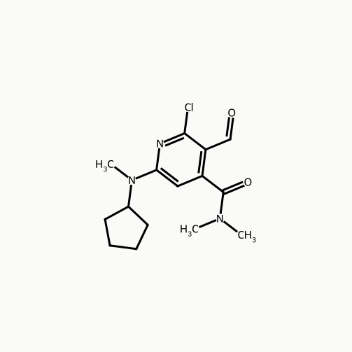 CN(C)C(=O)c1cc(N(C)C2CCCC2)nc(Cl)c1C=O